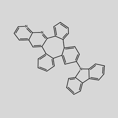 c1ccc2c(c1)-c1cc(-n3c4ccccc4c4ccccc43)ccc1-c1ccccc1-c1nc3ncccc3cc1-2